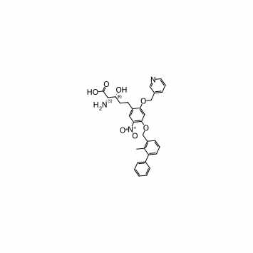 Cc1c(COc2cc(OCc3cccnc3)c(CC[C@@H](O)[C@H](N)C(=O)O)cc2[N+](=O)[O-])cccc1-c1ccccc1